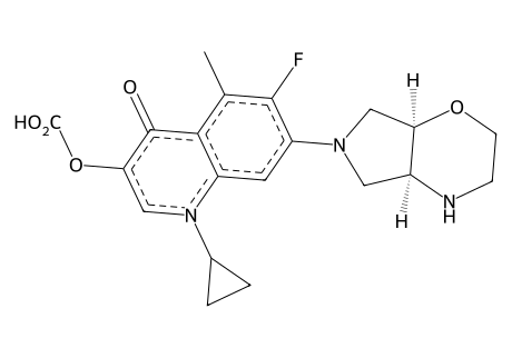 Cc1c(F)c(N2C[C@@H]3NCCO[C@@H]3C2)cc2c1c(=O)c(OC(=O)O)cn2C1CC1